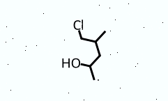 [CH2]C(O)CC(C)CCl